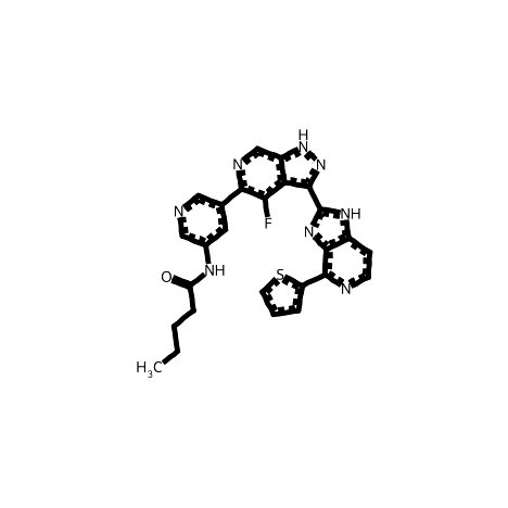 CCCCC(=O)Nc1cncc(-c2ncc3[nH]nc(-c4nc5c(-c6cccs6)nccc5[nH]4)c3c2F)c1